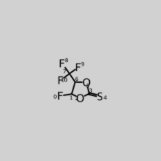 FC1OC(=S)OC1C(F)(F)F